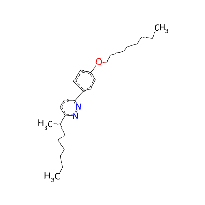 CCCCCCCCOc1ccc(-c2ccc(C(C)CCCCCC)nn2)cc1